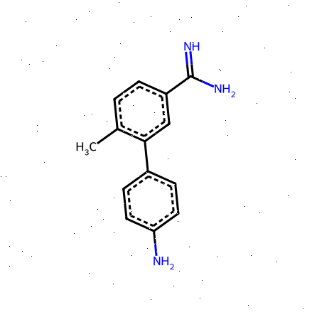 Cc1ccc(C(=N)N)cc1-c1ccc(N)cc1